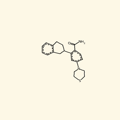 NC(=O)c1ccc(N2CCSCC2)cc1C1CCc2ccccc2C1